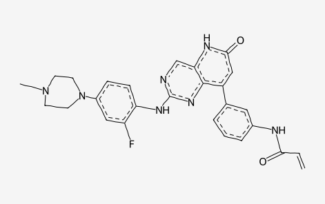 C=CC(=O)Nc1cccc(-c2cc(=O)[nH]c3cnc(Nc4ccc(N5CCN(C)CC5)cc4F)nc23)c1